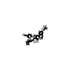 N#Cc1ccc(-n2nc3c(c2C(=O)NCC2(O)CCC2)C(=O)N[C@@]2(CCc4cc(OCC(F)(F)F)ccc42)C3)nc1